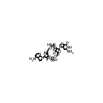 Nc1cc2c(ncn2[C@@H]2O[C@@H]3COP(=O)(S)O[C@H]4[C@H](F)[C@H](n5ccc6c(N)ccnc65)O[C@@H]4CCOP(=O)(S)O[C@@H]2[C@@H]3F)c(=O)[nH]1